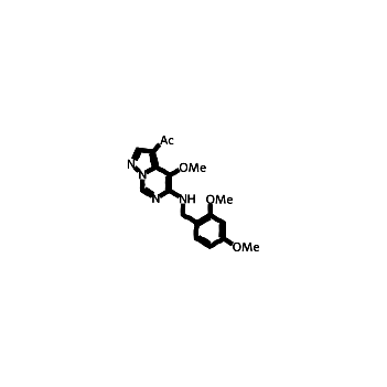 COc1ccc(CNc2ncn3ncc(C(C)=O)c3c2OC)c(OC)c1